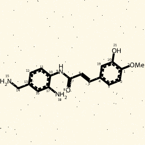 COc1ccc(/C=C/C(=O)Nc2ccc(CN)cc2N)cc1O